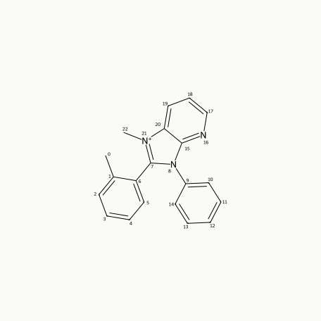 Cc1ccccc1-c1n(-c2ccccc2)c2ncccc2[n+]1C